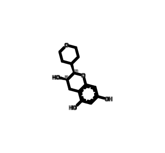 Oc1cc(O)c2c(c1)O[C@H](C1CCOCC1)[C@H](O)C2